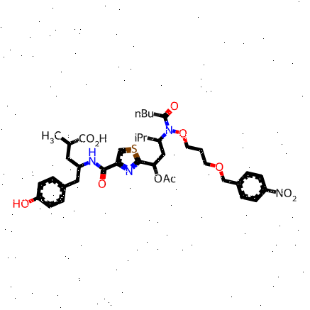 CCCCC(=O)N(OCCCOCc1ccc([N+](=O)[O-])cc1)C(CC(OC(C)=O)c1nc(C(=O)NC(Cc2ccc(O)cc2)CC(C)C(=O)O)cs1)C(C)C